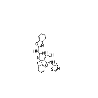 CC1=C(C(=O)Nc2nncs2)C2(Cc3ccccc32)N=C(Nc2nc3ccccc3o2)N1